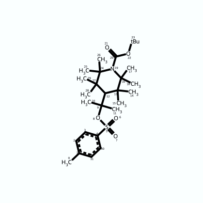 Cc1ccc(S(=O)(=O)OC(C)(C)C2C(C)(C)C(C)(C)N(C(=O)OC(C)(C)C)C(C)(C)C2(C)C)cc1